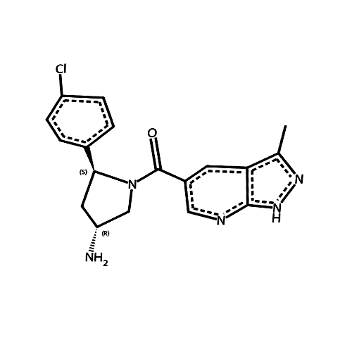 Cc1n[nH]c2ncc(C(=O)N3C[C@H](N)C[C@H]3c3ccc(Cl)cc3)cc12